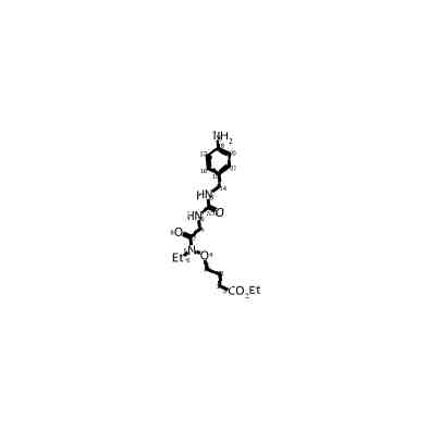 CCOC(=O)CCCON(CC)C(=O)CNC(=O)NCc1ccc(N)cc1